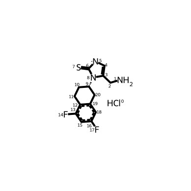 Cl.NCC1=C[N]C(=S)N1[C@H]1CCc2c(F)cc(F)cc2C1